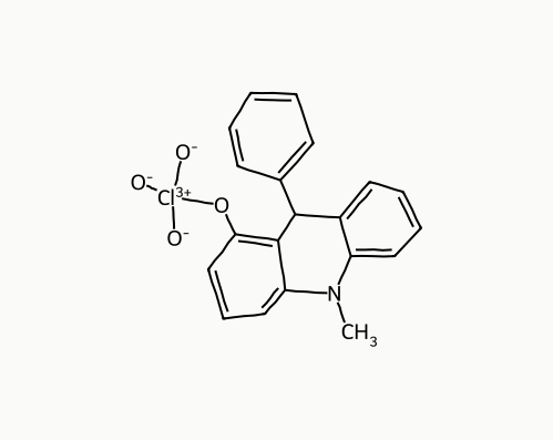 CN1c2ccccc2C(c2ccccc2)c2c(O[Cl+3]([O-])([O-])[O-])cccc21